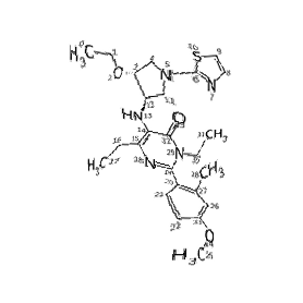 CCO[C@@H]1CN(c2nccs2)C[C@H]1Nc1c(CC)nc(-c2ccc(OC)cc2C)n(CC)c1=O